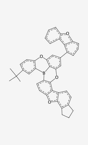 CC(C)(C)c1ccc2c(c1)B1c3ccc4oc5c6c(ccc5c4c3Oc3cc(-c4cccc5oc7ccccc7c45)cc(c31)O2)CCC6